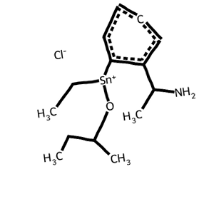 CCC(C)[O][Sn+]([CH2]C)[c]1ccccc1C(C)N.[Cl-]